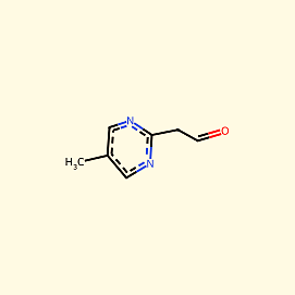 Cc1cnc(CC=O)nc1